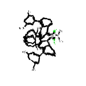 Cc1cc(C)cc(-c2cccc3c2C=C(CC2(C)CCCCCC2)[CH]3[Zr]([Cl])([Cl])([CH]2C(CC3(C)CCCCCC3)=Cc3c(-c4cc(C)cc(C)c4)cccc32)[SiH](C)C)c1